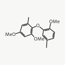 COc1cc(C)c(Oc2cc(C)ccc2OC)c(OC)c1